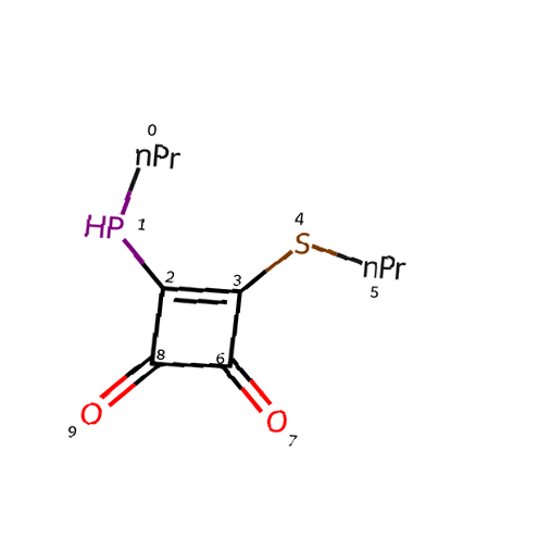 CCCPc1c(SCCC)c(=O)c1=O